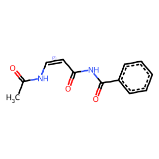 CC(=O)N/C=C\C(=O)NC(=O)c1ccccc1